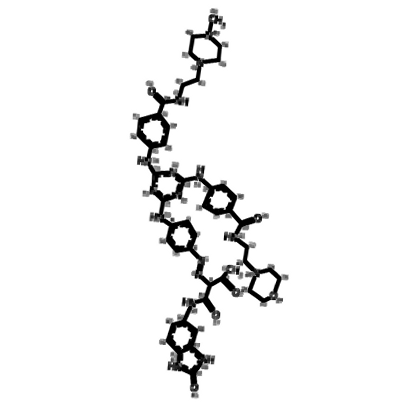 CC(=O)C(N=Nc1ccc(Nc2nc(Nc3ccc(C(=O)NCCN4CCOCC4)cc3)nc(Nc3ccc(C(=O)NCCN4CCN(C)CC4)cc3)n2)cc1)C(=O)Nc1ccc2[nH]c(=O)[nH]c2c1